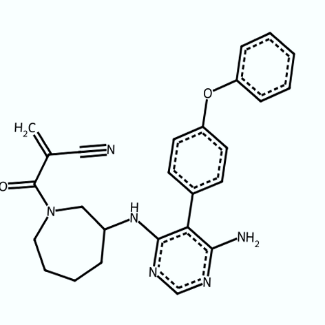 C=C(C#N)C(=O)N1CCCCC(Nc2ncnc(N)c2-c2ccc(Oc3ccccc3)cc2)C1